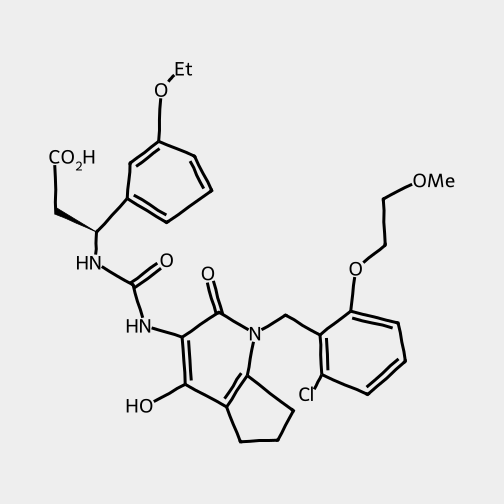 CCOc1cccc([C@H](CC(=O)O)NC(=O)Nc2c(O)c3c(n(Cc4c(Cl)cccc4OCCOC)c2=O)CCC3)c1